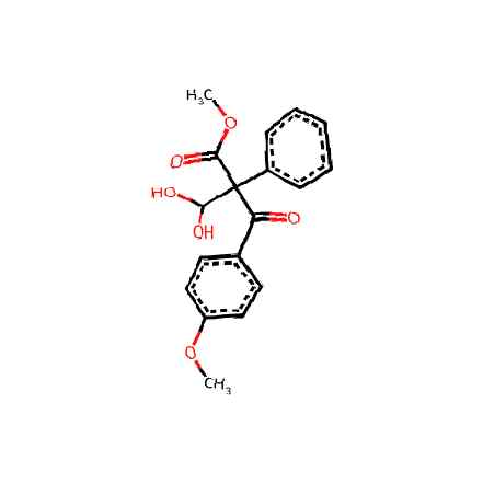 COC(=O)C(C(=O)c1ccc(OC)cc1)(c1ccccc1)C(O)O